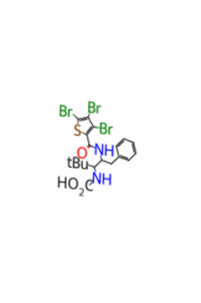 CC(C)(C)C(NC(=O)O)C(Cc1ccccc1)NC(=O)c1sc(Br)c(Br)c1Br